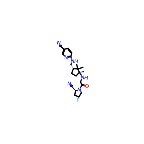 CC1(C)[C@@H](CNc2ccc(C#N)cn2)CC[C@@]1(C)NCC(=O)N1C[C@@H](F)C[C@H]1C#N